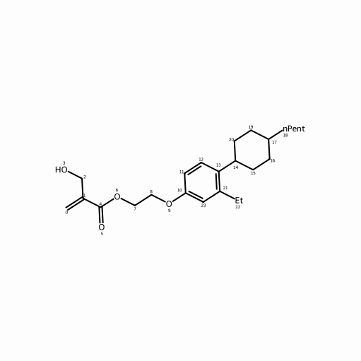 C=C(CO)C(=O)OCCOc1ccc(C2CCC(CCCCC)CC2)c(CC)c1